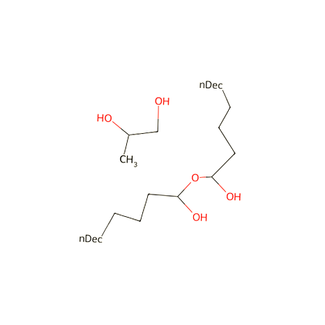 CC(O)CO.CCCCCCCCCCCCCC(O)OC(O)CCCCCCCCCCCCC